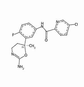 C[C@@]1(c2cc(NC(=O)c3ccc(Cl)cn3)ccc2F)CCN=C(N)O1